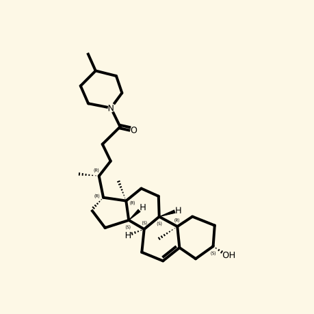 CC1CCN(C(=O)CC[C@@H](C)[C@H]2CC[C@H]3[C@@H]4CC=C5C[C@@H](O)CC[C@]5(C)[C@H]4CC[C@]23C)CC1